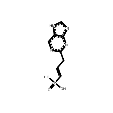 O=P(O)(O)C=CCc1ncc2[nH]cnc2n1